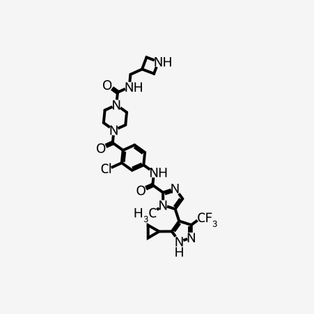 Cn1c(-c2c(C(F)(F)F)n[nH]c2C2CC2)cnc1C(=O)Nc1ccc(C(=O)N2CCN(C(=O)NCC3CNC3)CC2)c(Cl)c1